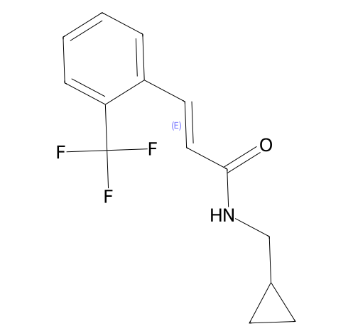 O=C(/C=C/c1ccccc1C(F)(F)F)NCC1CC1